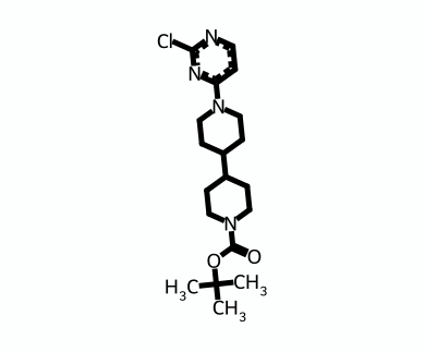 CC(C)(C)OC(=O)N1CCC(C2CCN(c3ccnc(Cl)n3)CC2)CC1